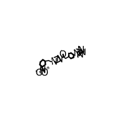 O=C(Cc1ccc(-n2cnnn2)cc1)N1CCN(CCc2cccc([N+](=O)[O-])c2)CC1